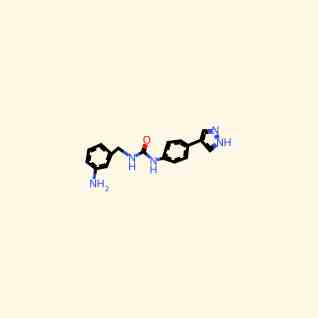 Nc1cccc(CNC(=O)Nc2ccc(-c3cn[nH]c3)cc2)c1